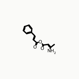 CC(N)=CC(=O)OC(=O)/C=C/c1ccccc1